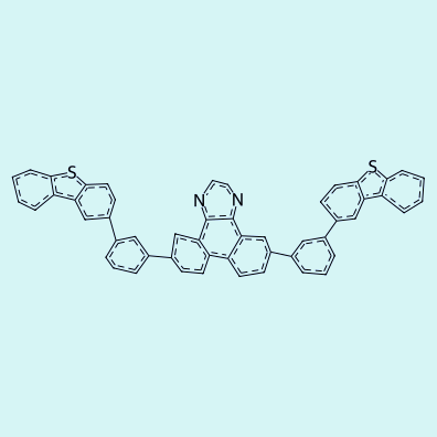 c1cc(-c2ccc3sc4ccccc4c3c2)cc(-c2ccc3c4ccc(-c5cccc(-c6ccc7sc8ccccc8c7c6)c5)cc4c4nccnc4c3c2)c1